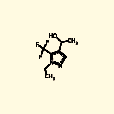 CCn1ncc(C(C)O)c1C(F)(F)F